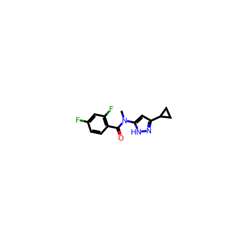 CN(C(=O)c1ccc(F)cc1F)c1cc(C2CC2)n[nH]1